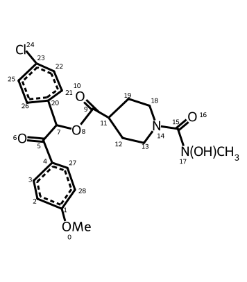 COc1ccc(C(=O)C(OC(=O)C2CCN(C(=O)N(C)O)CC2)c2ccc(Cl)cc2)cc1